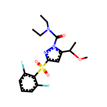 CCN(CC)C(=O)n1nc(S(=O)(=O)c2c(F)cccc2F)cc1C(C)OC